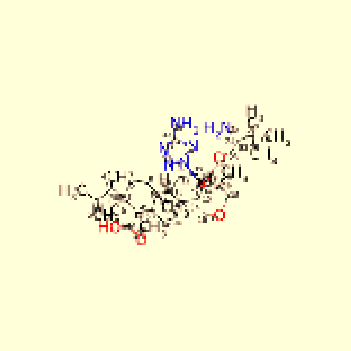 CC(C)[C@@H](C)[C@@]1(C)CC[C@]2(C)[C@H]3CC[C@@H]4[C@@]5(COC[C@@]4(C)[C@@H](OC[C@H](N)C(C)(C)C)[C@H](n4nnc(N)n4)C5)C3=CC[C@@]2(C)[C@@H]1C(=O)O